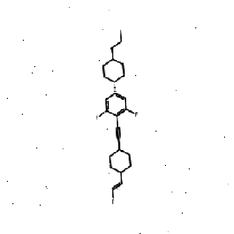 CCC[C@H]1CC[C@H](c2cc(F)c(C#CC3CCC(/C=C/F)CC3)c(F)c2)CC1